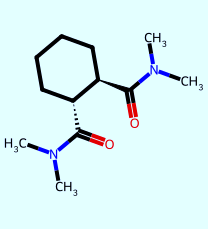 CN(C)C(=O)[C@@H]1CCCC[C@H]1C(=O)N(C)C